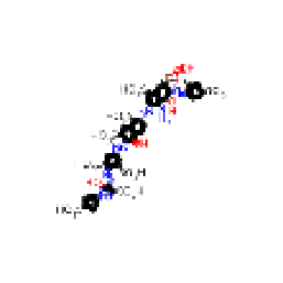 Nc1c(N=Nc2ccc3c(O)c(N=Nc4cc(C(=O)O)c(N=Nc5c(C(=O)O)nn(-c6ccc(S(=O)(=O)O)cc6)c5O)c(S(=O)(=O)O)c4)c(S(=O)(=O)O)cc3c2S(=O)(=O)O)cc(S(=O)(=O)O)c2cc(SOOO)c(N=Nc3ccc([N+](=O)[O-])cc3S(=O)(=O)O)c(O)c12